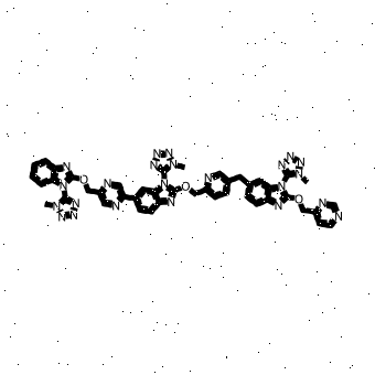 Cn1nnnc1-n1c(OCc2cnc(-c3ccc4nc(OCc5ccc(Cc6ccc7nc(OCc8ccncn8)n(-c8nnnn8C)c7c6)cn5)n(-c5nnnn5C)c4c3)cn2)nc2ccccc21